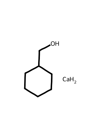 OCC1CCCCC1.[CaH2]